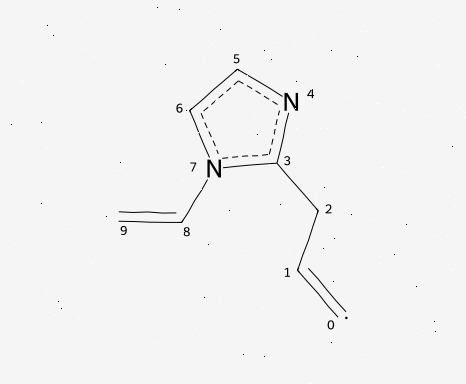 [CH]=CCc1nccn1C=C